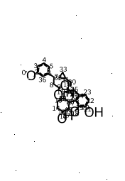 COc1cccc(CCC(=O)O[C@@]23CCC(=O)[C@@H]4Oc5c(O)ccc6c5[C@@]42CCN(CC2CC2)C3C6)c1